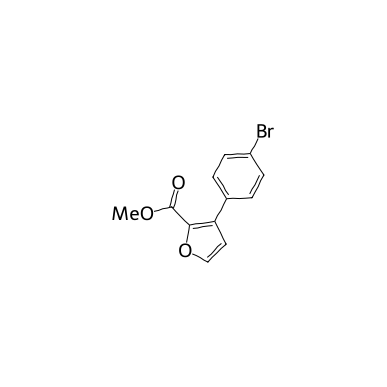 COC(=O)c1occc1-c1ccc(Br)cc1